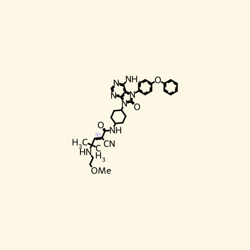 COCCNC(C)(C)/C=C(\C#N)C(=O)NC1CCC(n2c(=O)n(-c3ccc(Oc4ccccc4)cc3)c3c(N)ncnc32)CC1